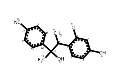 CC(c1ccc(O)cc1Cl)C(O)(c1ccc(C#N)cc1)C(F)(F)F